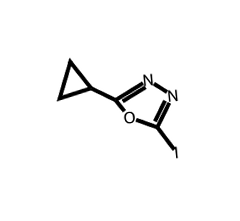 Ic1nnc(C2CC2)o1